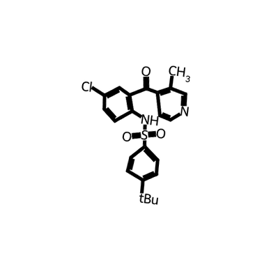 Cc1cnccc1C(=O)c1cc(Cl)ccc1NS(=O)(=O)c1ccc(C(C)(C)C)cc1